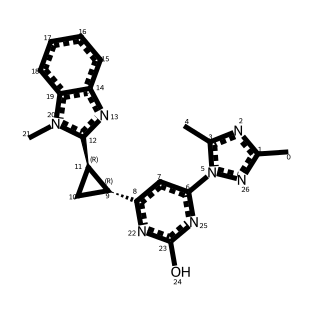 Cc1nc(C)n(-c2cc([C@@H]3C[C@H]3c3nc4ccccc4n3C)nc(O)n2)n1